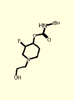 CC(C)(C)NC(=O)OC1CCN(CCO)CC1F